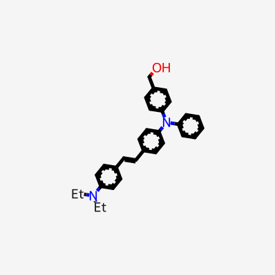 CCN(CC)c1ccc(/C=C/c2ccc(N(c3ccccc3)c3ccc(CO)cc3)cc2)cc1